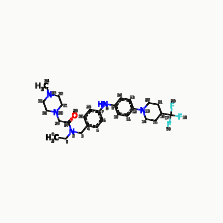 CCN(Cc1ccc(Nc2ccc(N3CCC(C(F)(F)F)CC3)cc2)cc1)C(=O)CN1CCN(C)CC1